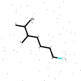 CC(C)C(C)C(C)CCCCF